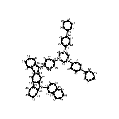 c1ccc(-c2ccc(-[n+]3c[n+](-c4ccc(-c5ccccc5)cc4)c[n+](-c4ccc(-n5c6ccccc6c6cc7c8ccccc8n(-c8ccc9ccccc9c8)c7cc65)nc4)c3)cc2)cc1